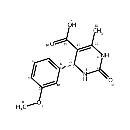 COc1cccc([C@H]2NC(=O)NC(C)=C2C(=O)O)c1